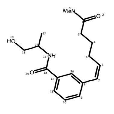 CNC(=O)CCC/C=C\c1cccc(C(=O)NC(C)CO)c1